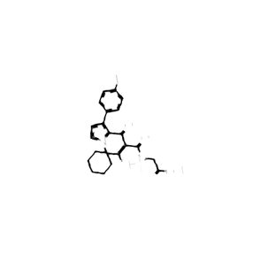 O=C(O)CNC(=O)C1=C(O)C2(CCCCC2)n2ccc(-c3ccc(F)cc3)c2C1=O